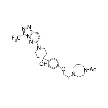 CC(=O)N1CCCN(C(C)COc2ccc(C3(O)CCN(c4ccc5nnc(C(F)(F)F)n5n4)CC3)cc2)CC1